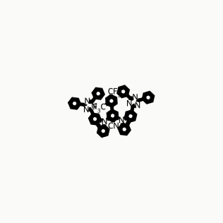 N#Cc1c(-n2c3ccccc3c3ccc(-c4nc(-c5ccccc5)nc(-c5ccccc5)n4)cc32)cc(-c2ccc(C(F)(F)F)cc2C(F)(F)F)cc1-n1c2ccccc2c2ccc(-c3nc(-c4ccccc4)nc(-c4ccccc4)n3)cc21